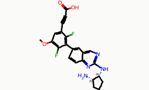 COc1cc(C#CC(=O)O)c(F)c(-c2ccc3nc(N[C@@H]4CCC[C@@H]4N)ncc3c2)c1F